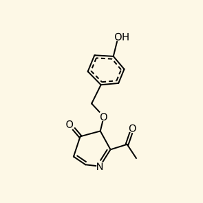 CC(=O)C1=NC=CC(=O)C1OCc1ccc(O)cc1